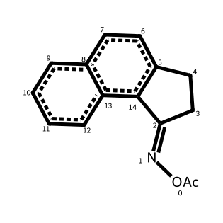 CC(=O)ON=C1CCc2ccc3ccccc3c21